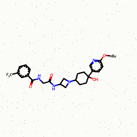 CCCCOc1ccc(C2(O)CCC(N3CC(NC(=O)CNC(=O)c4cccc(C(F)(F)F)c4)C3)CC2)cn1